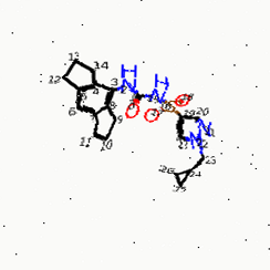 O=C(Nc1c2c(cc3c1CCC3)CCC2)NS(=O)(=O)c1cnn(CC2CC2)c1